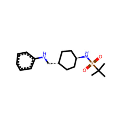 CC(C)(C)S(=O)(=O)N[C@H]1CC[C@H](CNc2ccccc2)CC1